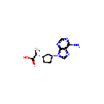 CC(C(=O)O)[C@H]1CC[C@H](n2cnc3c(N)ncnc32)C1